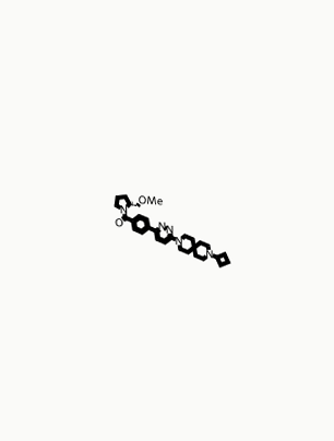 COC[C@H]1CCCN1C(=O)c1ccc(-c2ccc(N3CCC4(CC3)CCN(C3CCC3)CC4)nn2)cc1